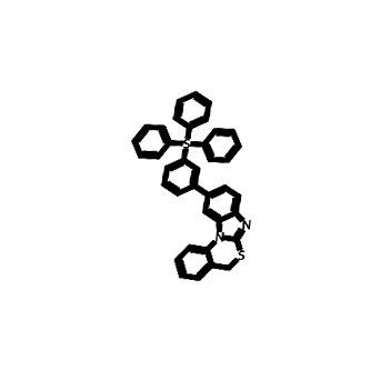 c1ccc(S(c2ccccc2)(c2ccccc2)c2cccc(-c3ccc4nc5n(c4c3)-c3ccccc3CS5)c2)cc1